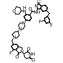 O=C1CCC(N2Cc3cc(CN4CCC(N5CCN(c6ccc(C(=O)Nc7n[nH]c8ccc(Cc9cc(F)cc(F)c9)cc78)c(NC7CCOCC7)c6)CC5)CC4)cc(F)c3C2=O)C(=O)N1